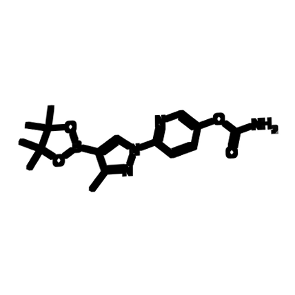 Cc1nn(-c2ccc(OC(N)=O)cn2)cc1B1OC(C)(C)C(C)(C)O1